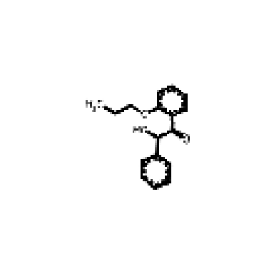 CCCOc1ccccc1C(=O)C(O)c1ccccc1